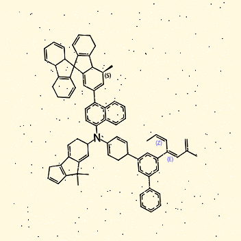 C=C(C)/C=C(\C=C/C)c1cc(-c2ccccc2)cc(C2C=CC(N(c3ccc(C4=C[C@H](C)C5C(=C4)C4(C6=C(CCC=C6)C6C=CC=CC64)C4=C5CCC=C4)c4ccccc34)C3C=C4C(=CC3)C3=C(C=CC3)C4(C)C)=CC2)c1